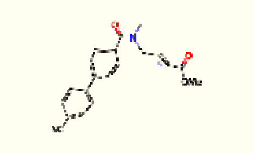 COC(=O)/C=C/CN(C)C(=O)c1ccc(-c2ccc(C#N)cc2)cc1